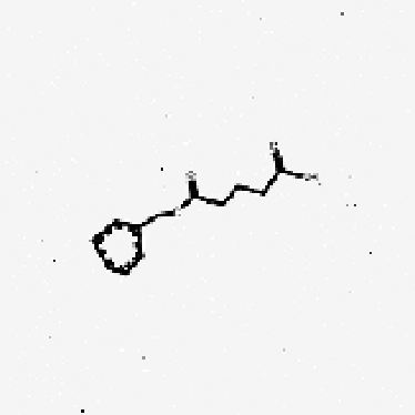 NC(=O)[CH]CCC(=O)OCc1ccccc1